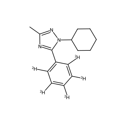 [2H]c1c([2H])c([2H])c(-c2nc(C)nn2C2CCCCC2)c([2H])c1[2H]